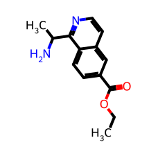 CCOC(=O)c1ccc2c(C(C)N)nccc2c1